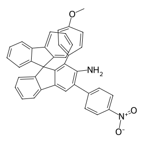 COc1ccc(-c2c(N)c(-c3ccc([N+](=O)[O-])cc3)cc3c2C2(c4ccccc4-c4ccccc42)c2ccccc2-3)cc1